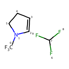 FC(F)(F)N1C=CCC1.FC(F)F